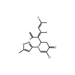 C=C(F)/C(=C(F)\C=C(/C)F)C1CC(=O)C(Cl)=CN1c1cc(C)on1